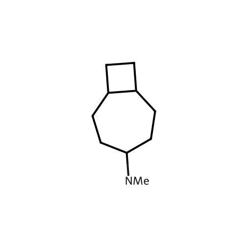 CNC1CCC2CCC2CC1